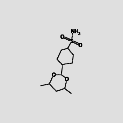 CC1CC(C)OC(C2CCC(S(N)(=O)=O)CC2)O1